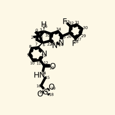 CC1(C)[C@H]2CC[C@@]1(c1cccc(C(=O)NCCS(C)(=O)=O)n1)c1nnc(-c3c(F)cccc3F)cc12